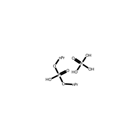 CCCOP(=O)(O)OCCC.O=P(O)(O)O